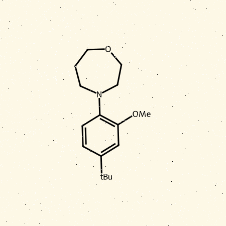 COc1cc(C(C)(C)C)ccc1N1CCCOCC1